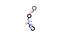 O=C(NCc1ccc(OCC2CCCCC2)cc1)c1cn2ccccc2n1